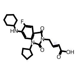 O=C(O)/C=C/Cn1c(=O)c2cc(F)c(NC3CCCCC3)cc2n(C2CCCC2)c1=O